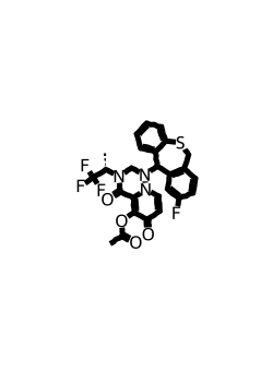 CC(=O)Oc1c2n(ccc1=O)N(C1c3cc(F)ccc3CSc3ccccc31)CN([C@@H](C)C(F)(F)F)C2=O